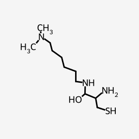 CN(C)CCCCCCNC(O)C(N)CS